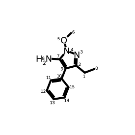 CCc1nn(OC)c(N)c1-c1ccccc1